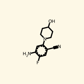 N#Cc1cc(F)c(N)cc1N1CCC(O)CC1